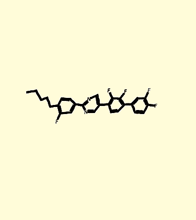 CCCCCc1ccc(-c2ncc(-c3ccc(-c4ccc(F)c(F)c4)c(F)c3F)cn2)cc1F